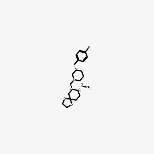 CN[C@@H]1CCC2(C[C@H]1CN1CCC[C@@H](Cc3ccc(F)cc3)C1)OCCO2